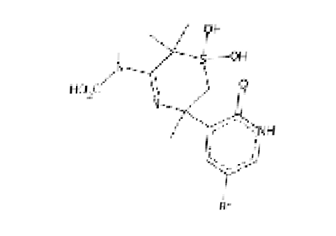 CC1(c2cc(Br)c[nH]c2=O)CS(O)(O)C(C)(C)C(NC(=O)O)=N1